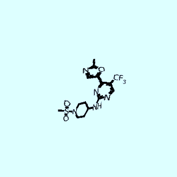 Cc1ncc(-c2nc(NC3CCN(S(C)(=O)=O)CC3)ncc2C(F)(F)F)o1